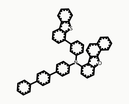 c1ccc(-c2ccc(-c3ccc(N(c4cccc(-c5cccc6c5sc5ccccc56)c4)c4cccc5oc6c7ccccc7ccc6c45)cc3)cc2)cc1